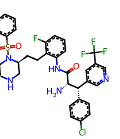 N[C@H](C(=O)Nc1cccc(F)c1CC[C@H]1CNCCN1S(=O)(=O)c1ccccc1)[C@@H](c1ccc(Cl)cc1)c1cncc(C(F)(F)F)c1